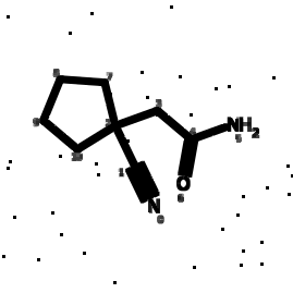 N#CC1([CH]C(N)=O)CCCC1